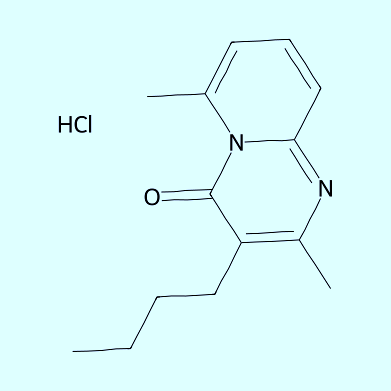 CCCCc1c(C)nc2cccc(C)n2c1=O.Cl